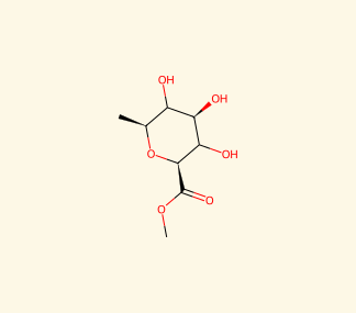 COC(=O)[C@H]1O[C@@H](C)C(O)[C@@H](O)C1O